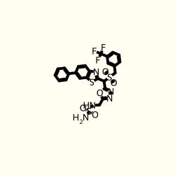 NS(=O)(=O)NCc1nnc(C(c2nc3ccc(-c4ccccc4)cc3s2)S(=O)(=O)Cc2cccc(C(F)(F)F)c2)o1